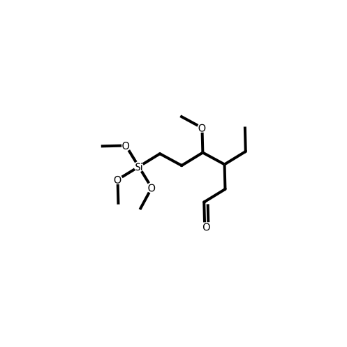 CCC(CC=O)C(CC[Si](OC)(OC)OC)OC